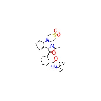 Cc1nc(-c2ccccc2N2CCS(=O)(=O)CC2)c([C@@H]2CCCC[C@H]2C(=O)NC2(C#N)CC2)o1